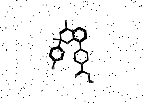 CC(C)(C)OC(=O)N1CCC(c2cccc3c2OC(C)(c2ccc(Cl)cn2)C=C3F)CC1